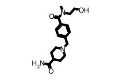 CN(CCO)C(=O)c1ccc(CN2CCC(C(N)=O)CC2)cc1